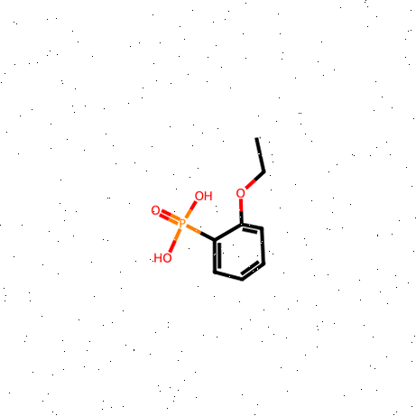 [CH2]COc1ccccc1P(=O)(O)O